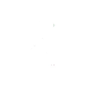 O=[C]CCc1c(F)cccc1F